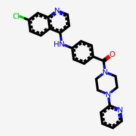 O=C(c1ccc(Nc2ccnc3cc(Cl)ccc23)cc1)N1CCN(c2ccccn2)CC1